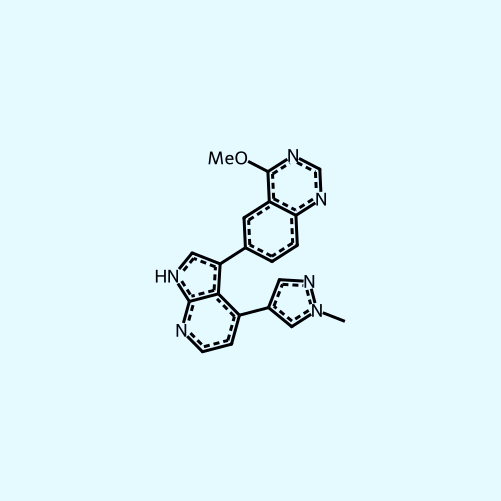 COc1ncnc2ccc(-c3c[nH]c4nccc(-c5cnn(C)c5)c34)cc12